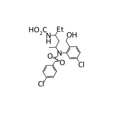 CCC(CC(C)N(c1cc(Cl)ccc1CO)S(=O)(=O)c1ccc(Cl)cc1)NC(=O)O